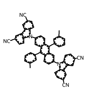 Cc1cccc(-c2c3ccc(-n4c5ccc(C#N)cc5c5cc(C#N)ccc54)cc3c(-c3cccc(C)c3)c3ccc(-n4c5ccc(C#N)cc5c5cc(C#N)ccc54)cc23)c1